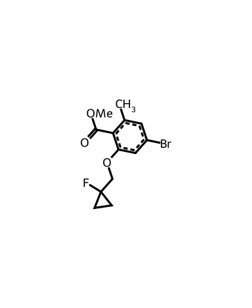 COC(=O)c1c(C)cc(Br)cc1OCC1(F)CC1